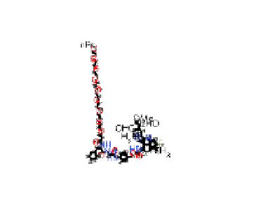 CCCOCCOCCOCCOCCOCCOCCOCCOCCOCCC(=O)NC(Cc1ccccc1)C(=O)NCC(=O)Nc1ccc(COC(=O)NC2CCc3c(C)c(F)cc4nc5c(c2c34)CN(C)/C5=C\C(=C(/C=O)COC)C(C=O)CC)cc1